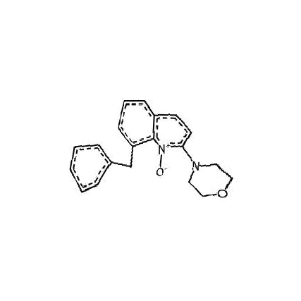 [O-][n+]1c(N2CCOCC2)ccc2cccc(Cc3ccccc3)c21